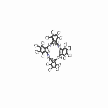 Clc1c(Cl)c(Cl)c2c(c1Cl)C1=NC/2=N\c2[nH]c(c3c(Cl)c(Cl)c(Cl)c(Cl)c23)NC2N=C(/N=c3\[nH]/c(c4c(Cl)c(Cl)c(Cl)c(Cl)c34)=N\1)c1c(Cl)c(Cl)c(Cl)c(Cl)c12